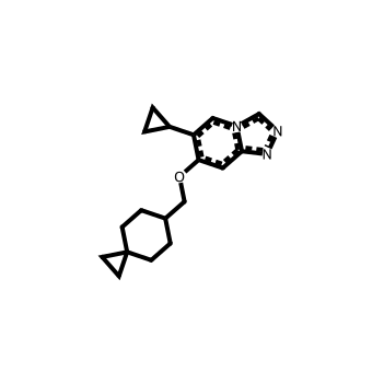 c1c(OCC2CCC3(CC2)CC3)c(C2CC2)cn2cnnc12